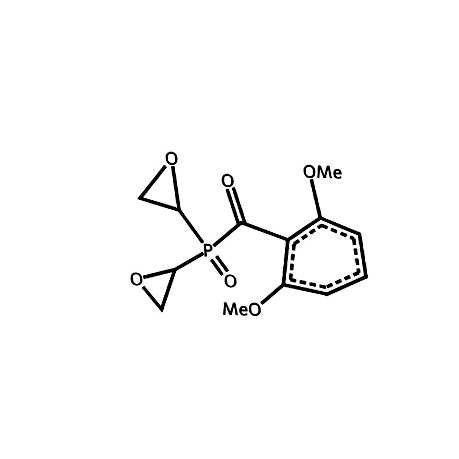 COc1cccc(OC)c1C(=O)P(=O)(C1CO1)C1CO1